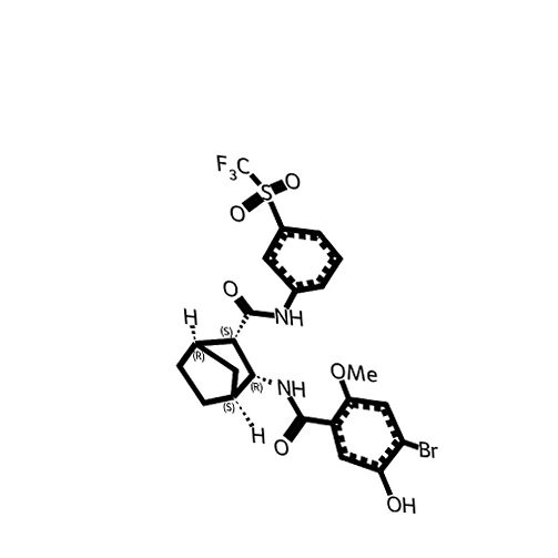 COc1cc(Br)c(O)cc1C(=O)N[C@@H]1[C@H]2CC[C@H](C2)[C@@H]1C(=O)Nc1cccc(S(=O)(=O)C(F)(F)F)c1